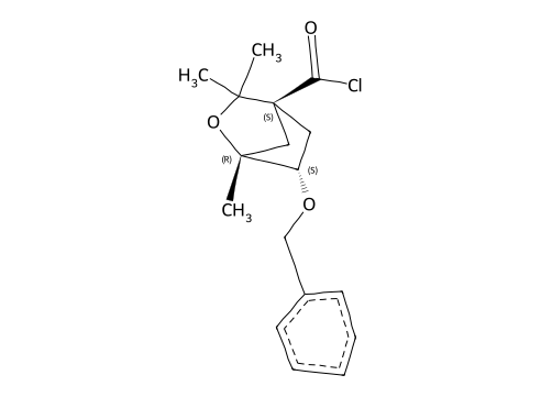 CC1(C)O[C@]2(C)C[C@@]1(C(=O)Cl)C[C@@H]2OCc1ccccc1